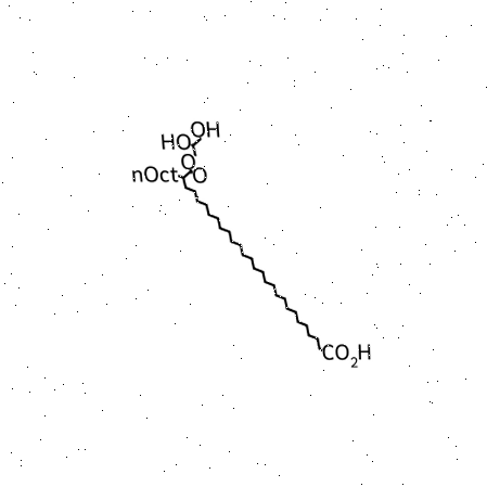 CCCCCCCCC(CCCCCCCCCCCCCCCCCCCCCCCCCC(=O)O)C(=O)OCC(O)CO